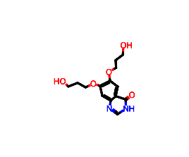 O=c1[nH]cnc2cc(OCCCO)c(OCCCO)cc12